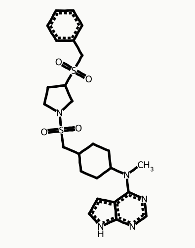 CN(c1ncnc2[nH]ccc12)C1CCC(CS(=O)(=O)N2CCC(S(=O)(=O)Cc3ccccc3)C2)CC1